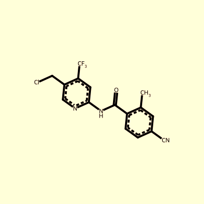 Cc1cc(C#N)ccc1C(=O)Nc1cc(C(F)(F)F)c(CCl)cn1